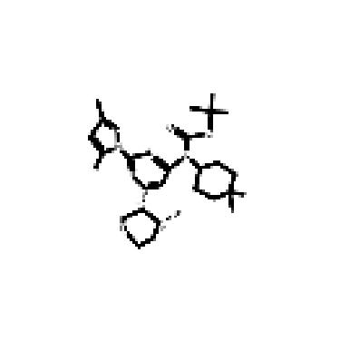 Cc1cc(C)n(-c2nc([C@H]3COCC[C@H]3F)cc(N(C(=O)OC(C)(C)C)C3CCC(F)(F)CC3)n2)n1